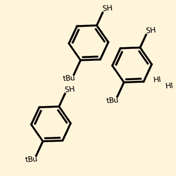 CC(C)(C)c1ccc(S)cc1.CC(C)(C)c1ccc(S)cc1.CC(C)(C)c1ccc(S)cc1.I.I.I